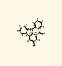 C=c1c2ccccc2n2c3ccccc3c3cc(Br)cc1c32